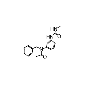 CNC(=O)Nc1cccc(N(Cc2ccccc2)C(C)=O)c1